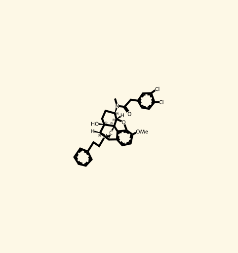 COc1ccc2c3c1O[C@H]1[C@H](N(C)C(=O)Cc4ccc(Cl)c(Cl)c4)CC[C@@]4(O)[C@@H](C2)N(CCc2ccccc2)CC[C@]314